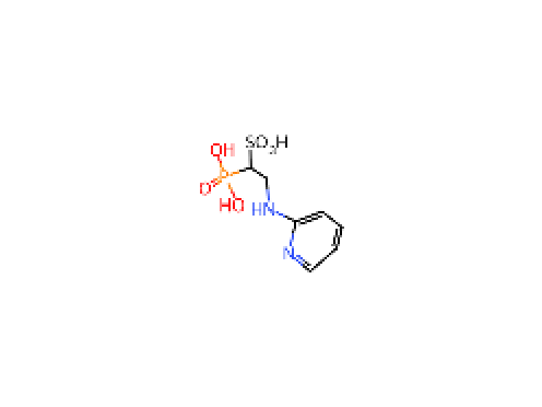 O=P(O)(O)C(CNc1ccccn1)S(=O)(=O)O